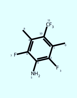 Cc1c(F)c(N)c(F)c(C)c1C(F)(F)F